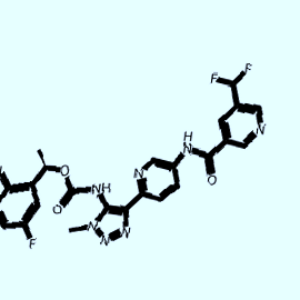 C[C@@H](OC(=O)Nc1c(-c2ccc(NC(=O)c3cncc(C(F)F)c3)cn2)nnn1C)c1cc(F)cnc1Cl